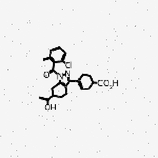 Cc1cccc(Cl)c1C(=O)n1nc(C2=CCC(C(=O)O)CC2)c2c1CC(C(C)O)CC2